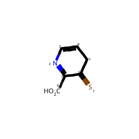 O=C(O)C1=NC=CCC1=S